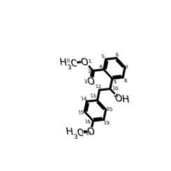 COC(=O)c1ccccc1C(O)Cc1ccc(OC)cc1